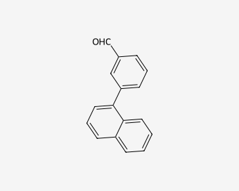 O=Cc1cccc(-c2cccc3ccccc23)c1